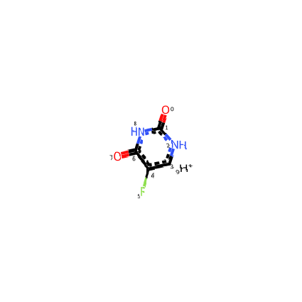 O=c1[nH]cc(F)c(=O)[nH]1.[H+]